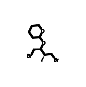 C[C@@H](CBr)[C@@H](CBr)OC1CCCCO1